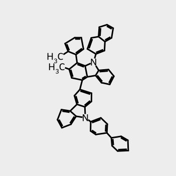 Cc1ccccc1-c1c(C)cc(-c2ccc3c(c2)c2ccccc2n3-c2ccc(-c3ccccc3)cc2)c2c3ccccc3n(-c3ccc4ccccc4c3)c12